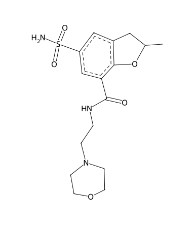 CC1Cc2cc(S(N)(=O)=O)cc(C(=O)NCCN3CCOCC3)c2O1